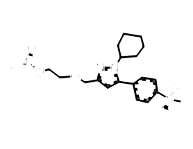 CS(=O)(=O)c1ccc(-c2cc(COCCO[N+](=O)[O-])nn2C2CCCCC2)cc1